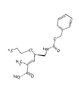 CCCO[C@H](C=C(C)C(=O)O)CNC(=O)OCc1ccccc1